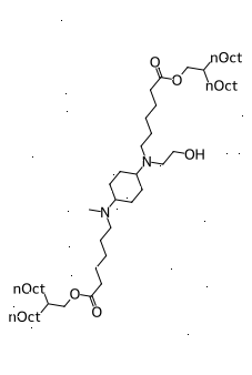 CCCCCCCCC(CCCCCCCC)COC(=O)CCCCCN(C)C1CCC(N(CCO)CCCCCC(=O)OCC(CCCCCCCC)CCCCCCCC)CC1